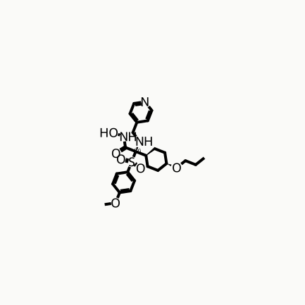 CCCO[C@H]1CC[C@H]([C@](NCc2ccncc2)(C(=O)NO)S(=O)(=O)c2ccc(OC)cc2)CC1